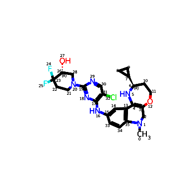 CN1CC2=C(N[C@@H](C3CC3)CCO2)c2cc(Nc3nc(N4CCC(F)(F)[C@H](O)C4)ncc3Cl)ccc21